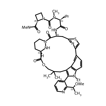 CCn1c(-c2cccnc2[C@H](C)OC)c2c3cc(ccc31)-c1csc(n1)C[C@H](NC(=O)[C@H](C(C)C)N(C)C(=O)N1CC[C@@H]1C(=O)NC)C(=O)N1CCC[C@H](N1)C(=O)OCC(C)(C)C2